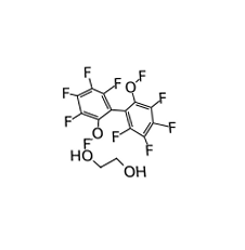 FOc1c(F)c(F)c(F)c(F)c1-c1c(F)c(F)c(F)c(F)c1OF.OCCO